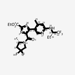 CCOC(=O)c1nc(C(=O)N2CC(F)(F)C[C@@H]2C)c(-c2cnc(N[C@@H](CC)C(F)(F)F)cc2C)s1